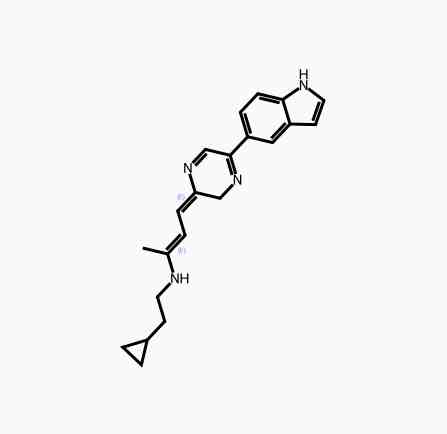 C/C(=C\C=C1/CN=C(c2ccc3[nH]ccc3c2)C=N1)NCCC1CC1